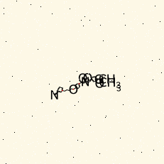 CC1(C)OCc2cc([C@@H]3CN(CCc4ccc(OCCCCc5cccc(C#N)c5)cc4)C(=O)O3)ccc2O1